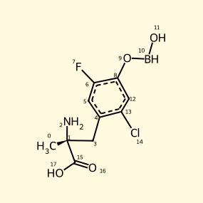 C[C@@](N)(Cc1cc(F)c(OBO)cc1Cl)C(=O)O